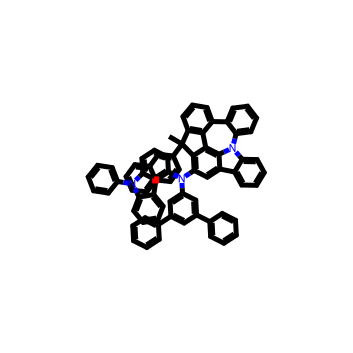 CC1(c2ccc3ccccc3c2)c2cccc3c2-c2c1c(N(c1cc(-c4ccccc4)cc(-c4ccccc4)c1)c1cccc4c1c1ccccc1n4-c1ccccc1)cc1c4ccccc4n(c21)-c1ccccc1-3